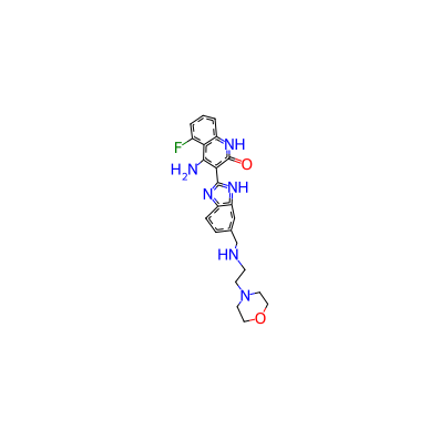 Nc1c(-c2nc3ccc(CNCCN4CCOCC4)cc3[nH]2)c(=O)[nH]c2cccc(F)c12